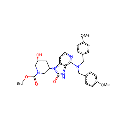 COc1ccc(CN(Cc2ccc(OC)cc2)c2nccc3c2[nH]c(=O)n3[C@@H]2C[C@H](O)CN(C(=O)OC(C)(C)C)C2)cc1